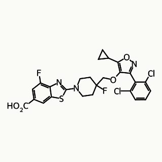 O=C(O)c1cc(F)c2nc(N3CCC(F)(COc4c(-c5c(Cl)cccc5Cl)noc4C4CC4)CC3)sc2c1